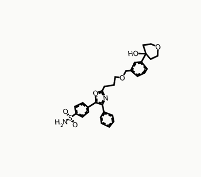 NS(=O)(=O)c1ccc(-c2oc(CCCOCc3cccc(C4(O)CCOCC4)c3)nc2-c2ccccc2)cc1